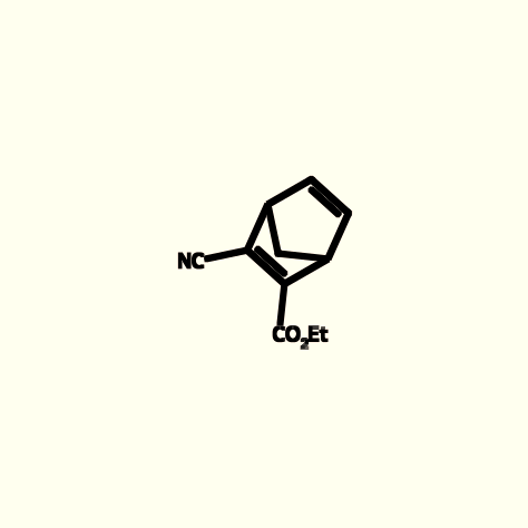 CCOC(=O)C1=C(C#N)C2C=CC1C2